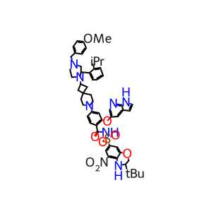 COc1ccc(CN2CCN(C3CC4(CCN(c5ccc(C(=O)NS(=O)(=O)c6cc7c(c([N+](=O)[O-])c6)NC(C(C)(C)C)CO7)c(Oc6cnc7[nH]ccc7c6)c5)CC4)C3)C(c3ccccc3C(C)C)C2)cc1